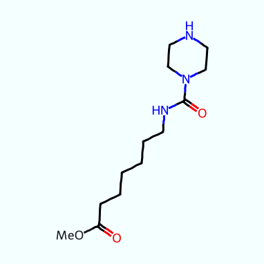 COC(=O)CCCCCCNC(=O)N1CCNCC1